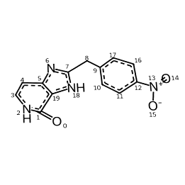 O=c1[nH]ccc2nc(Cc3ccc([N+](=O)[O-])cc3)[nH]c12